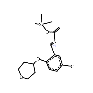 C=C(/N=C/c1cc(Cl)ccc1OC1CCOCC1)O[Si](C)(C)C